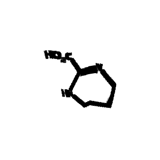 O=C(O)C1=NCCCN1